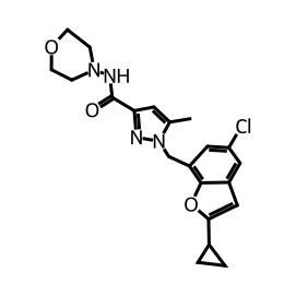 Cc1cc(C(=O)NN2CCOCC2)nn1Cc1cc(Cl)cc2cc(C3CC3)oc12